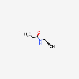 C#CCNC(=O)CC